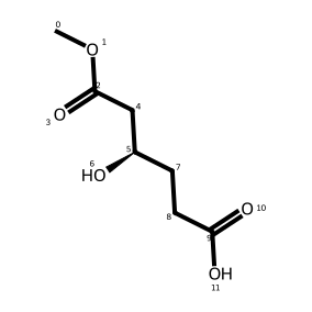 COC(=O)C[C@H](O)CCC(=O)O